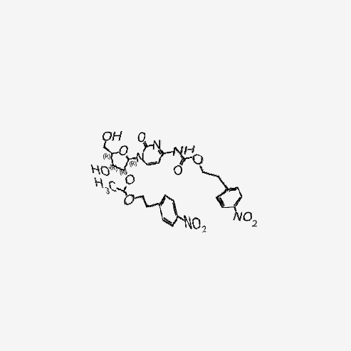 CC(OCCc1ccc([N+](=O)[O-])cc1)O[C@@H]1[C@H](O)[C@@H](CO)O[C@H]1n1ccc(NC(=O)OCCc2ccc([N+](=O)[O-])cc2)nc1=O